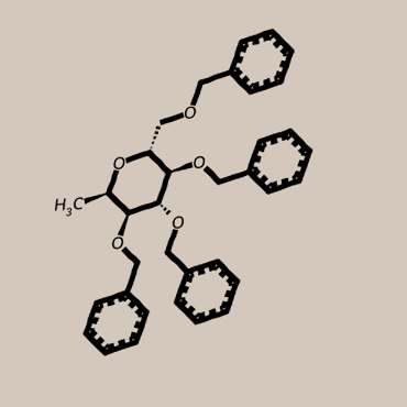 C[C@H]1O[C@H](COCc2ccccc2)[C@@H](OCc2ccccc2)[C@H](OCc2ccccc2)[C@H]1OCc1ccccc1